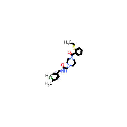 C/C=C(\C=C/C(C)Cl)CNC(=O)CN1CCCN(C(=O)c2ccccc2SCC)CC1